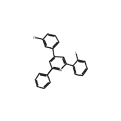 Clc1cccc(-c2cc(-c3ccccc3)nc(-c3ccccc3I)c2)c1